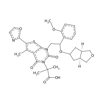 COc1ccccc1C(Cn1c(=O)n(C(C)(C)C(=O)O)c(=O)c2c(C)c(-c3ncco3)sc21)OC1C[C@H]2COC[C@H]2C1